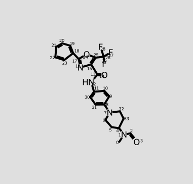 CN(C=O)C1CCN(c2ccc(NC(=O)c3nc(-c4ccccc4)oc3C(F)(F)F)cc2)CC1